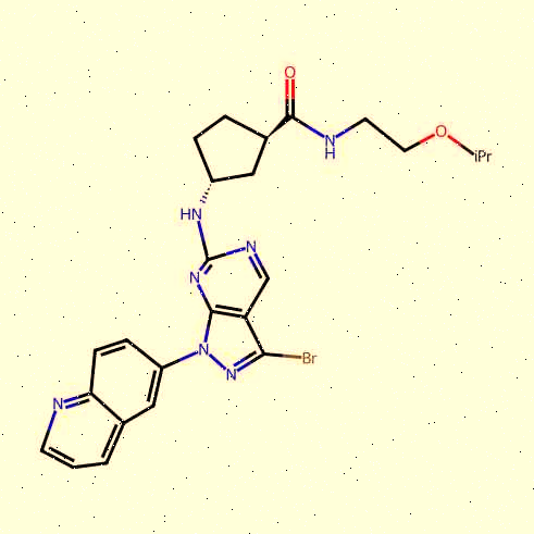 CC(C)OCCNC(=O)[C@@H]1CC[C@@H](Nc2ncc3c(Br)nn(-c4ccc5ncccc5c4)c3n2)C1